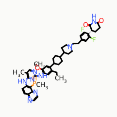 CCc1cc(Nc2ncc(C)c(Nc3ccc4nccnc4c3PC)n2)c(OC)cc1C1CCC(C2CCN(CCc3cc(F)c([C@H]4CCC(=O)NC4=O)c(F)c3)CC2)CC1